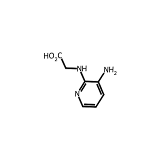 Nc1cccnc1NCC(=O)O